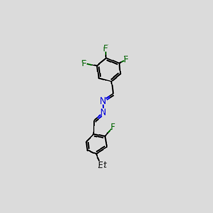 CCc1ccc(C=NN=Cc2cc(F)c(F)c(F)c2)c(F)c1